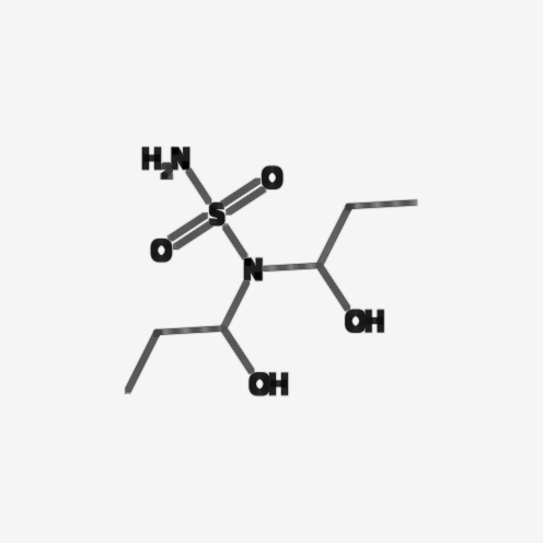 CCC(O)N(C(O)CC)S(N)(=O)=O